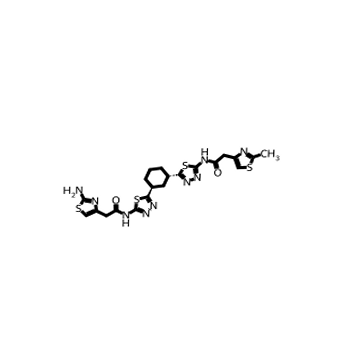 Cc1nc(CC(=O)Nc2nnc([C@H]3CCC[C@H](c4nnc(NC(=O)Cc5csc(N)n5)s4)C3)s2)cs1